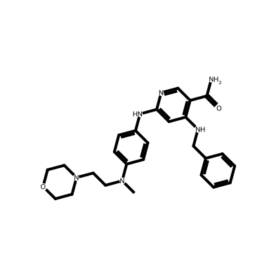 CN(CCN1CCOCC1)c1ccc(Nc2cc(NCc3ccccc3)c(C(N)=O)cn2)cc1